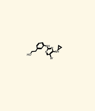 OCCc1cccc(Nc2ncc(Br)c(NC3CC3)n2)c1